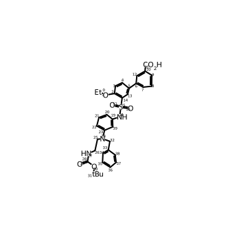 CCOc1ccc(-c2cccc(C(=O)O)c2)cc1S(=O)(=O)Nc1cccc(N(CCNC(=O)OC(C)(C)C)Cc2ccccc2)c1